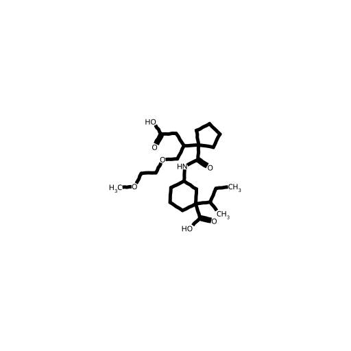 CCC(C)C1(C(=O)O)CCCC(NC(=O)C2(C(COCCOC)CC(=O)O)CCCC2)C1